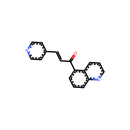 O=C(C=Cc1ccncc1)c1cccc2ncccc12